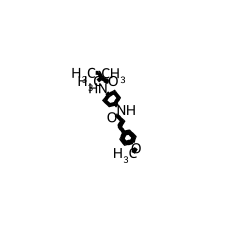 CCC(C)(C)C(=O)NC1CCC(NC(=O)/C=C/c2ccc(OC)cc2)CC1